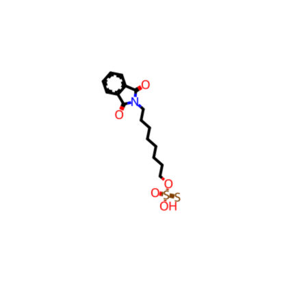 O=C1c2ccccc2C(=O)N1CCCCCCCCOS(=O)(O)=S